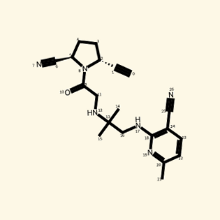 C#C[C@H]1CC[C@H](C#N)N1C(=O)CNC(C)(C)CNc1nc(C)ccc1C#N